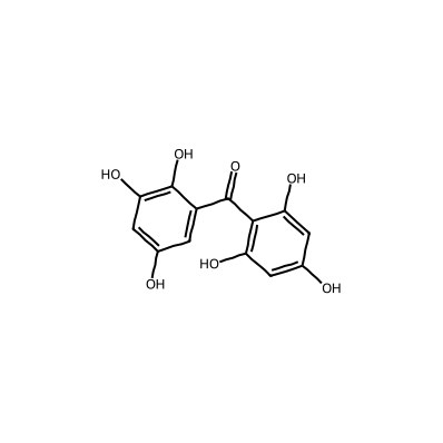 O=C(c1cc(O)cc(O)c1O)c1c(O)cc(O)cc1O